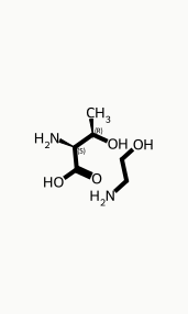 C[C@@H](O)[C@H](N)C(=O)O.NCCO